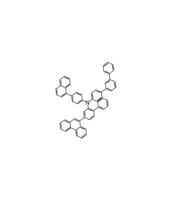 c1ccc(-c2cccc(-c3ccc(N(c4ccc(-c5cccc6ccccc56)cc4)c4cc(-c5cc6ccccc6c6ccccc56)ccc4-c4ccccc4)cc3)c2)cc1